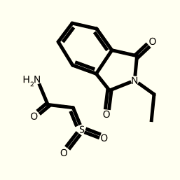 CCN1C(=O)c2ccccc2C1=O.NC(=O)C=S(=O)=O